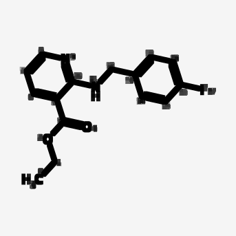 CCOC(=O)c1cccnc1NCc1ccc(F)cc1